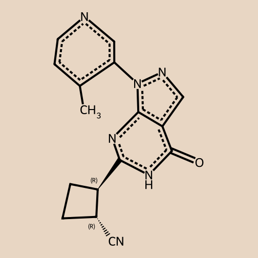 Cc1ccncc1-n1ncc2c(=O)[nH]c([C@@H]3CC[C@H]3C#N)nc21